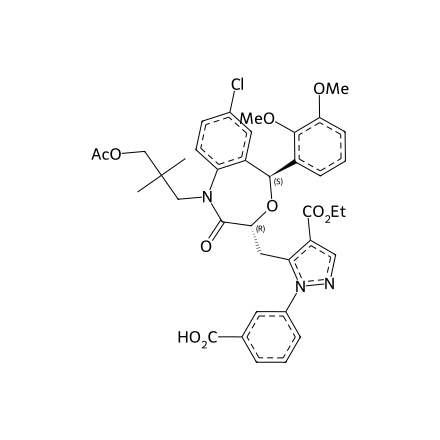 CCOC(=O)c1cnn(-c2cccc(C(=O)O)c2)c1C[C@H]1O[C@H](c2cccc(OC)c2OC)c2cc(Cl)ccc2N(CC(C)(C)COC(C)=O)C1=O